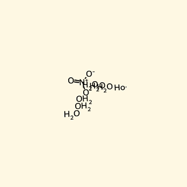 O.O.O.O.O.O.O=[N+]([O-])[O-].[Ho]